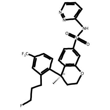 C[C@@]1(c2ccc(C(F)(F)F)cc2CCCF)CCOc2cc(S(=O)(=O)Nc3cccnn3)ccc21